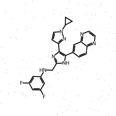 Fc1cc(F)cc(NCc2nc(-c3ccn(C4CC4)n3)c(-c3ccc4nccnc4c3)[nH]2)c1